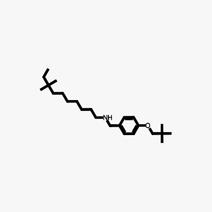 CCC(C)(C)CCCCCCCNCc1ccc(OCC(C)(C)C)cc1